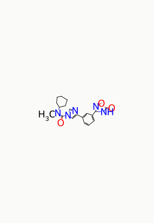 CN(C(=O)n1cnc(-c2cccc(-c3noc(=O)[nH]3)c2)c1)C1CCCCC1